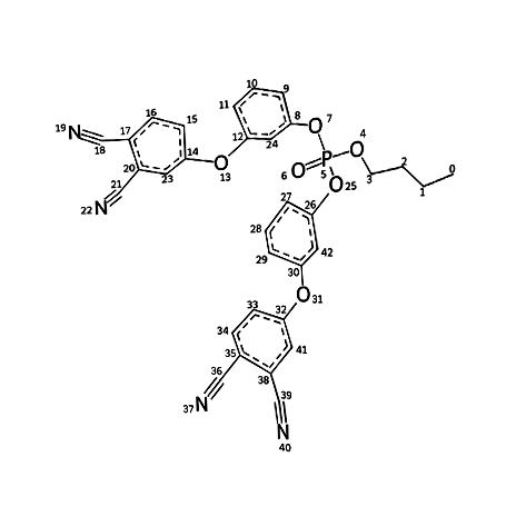 CCCCOP(=O)(Oc1cccc(Oc2ccc(C#N)c(C#N)c2)c1)Oc1cccc(Oc2ccc(C#N)c(C#N)c2)c1